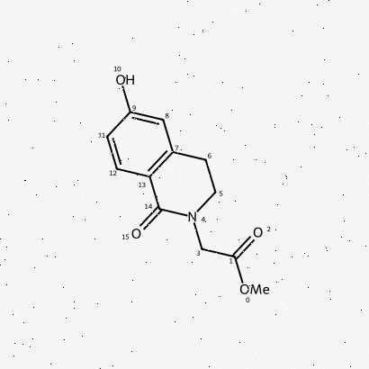 COC(=O)CN1CCc2cc(O)ccc2C1=O